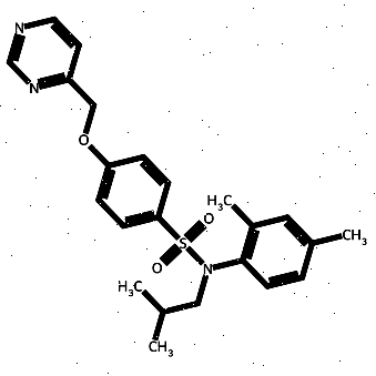 Cc1ccc(N(CC(C)C)S(=O)(=O)c2ccc(OCc3ccncn3)cc2)c(C)c1